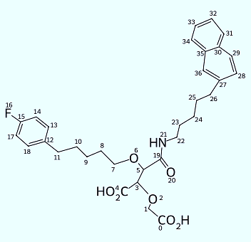 O=C(O)COC(C(=O)O)C(OCCCCCc1ccc(F)cc1)C(=O)NCCCCCc1ccc2ccccc2c1